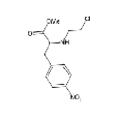 COC(=O)C(Cc1ccc([N+](=O)[O-])cc1)NCCCl